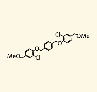 COCc1ccc(OCc2ccc(COc3ccc(COC)cc3Cl)cc2)c(Cl)c1